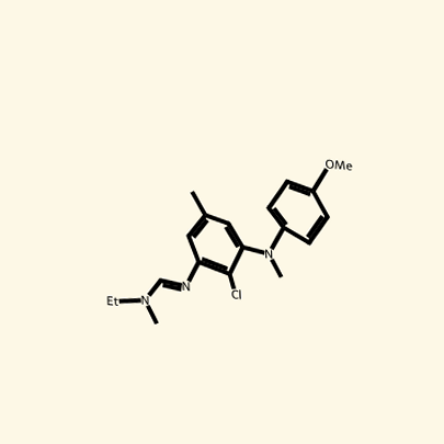 CCN(C)C=Nc1cc(C)cc(N(C)c2ccc(OC)cc2)c1Cl